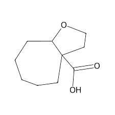 O=C(O)C12CCCCCC1OCC2